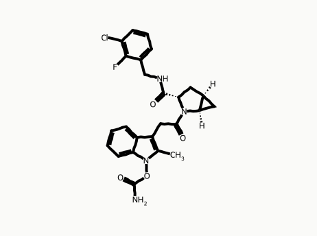 Cc1c(CC(=O)N2[C@@H]3C[C@@H]3C[C@H]2C(=O)NCc2cccc(Cl)c2F)c2ccccc2n1OC(N)=O